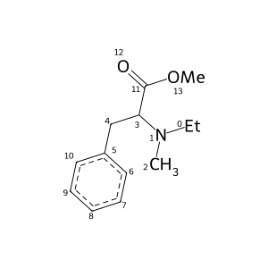 CCN(C)C(Cc1ccccc1)C(=O)OC